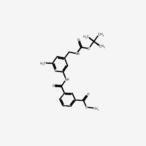 COC(=O)c1cccc(C(=O)Nc2cc(CNC(=O)OC(C)(C)C)cc(C)n2)c1